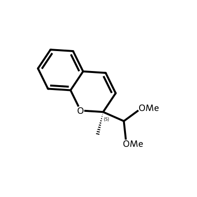 COC(OC)[C@]1(C)C=Cc2ccccc2O1